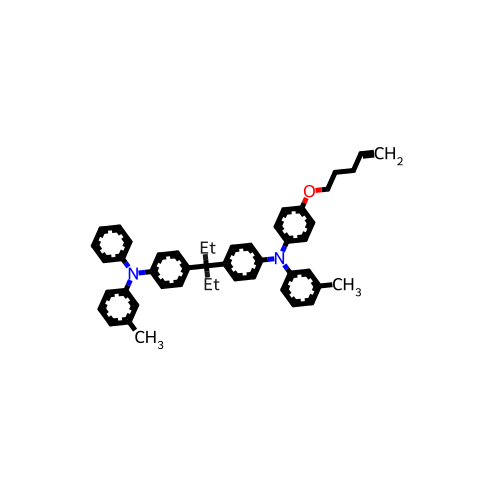 C=CCCCOc1ccc(N(c2ccc(C(CC)(CC)c3ccc(N(c4ccccc4)c4cccc(C)c4)cc3)cc2)c2cccc(C)c2)cc1